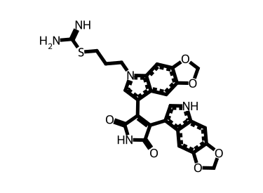 N=C(N)SCCCn1cc(C2=C(c3c[nH]c4cc5c(cc34)OCO5)C(=O)NC2=O)c2cc3c(cc21)OCO3